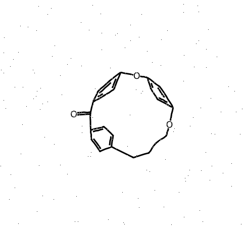 O=C1c2ccc(cc2)CCCCOc2ccc(cc2)Oc2ccc1cc2